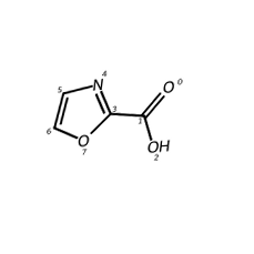 O=C(O)c1ncco1